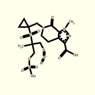 Cn1nc(C(=O)O)c2c1C(=O)N(CC1(S(=O)(=O)C(C)(CN=[N+]=[N-])COS(=O)(=O)O)CC1)CC2